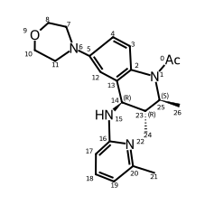 CC(=O)N1c2ccc(N3CCOCC3)cc2[C@H](Nc2cccc(C)n2)[C@@H](C)[C@@H]1C